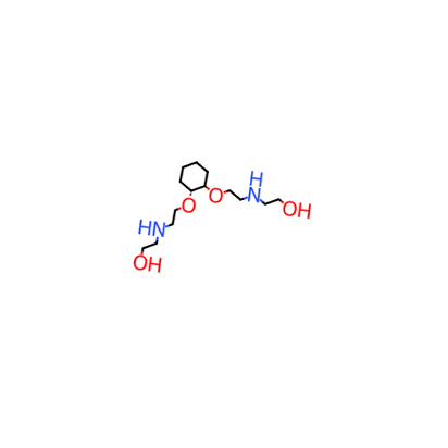 OCCNCCO[C@@H]1CCCC[C@H]1OCCNCCO